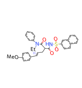 CCN(C(=O)C(C/C=C/c1ccc(OC)cc1)C(=O)NS(=O)(=O)c1ccc2ccccc2c1)c1ccccc1